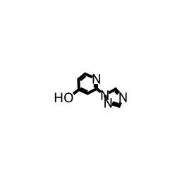 Oc1ccnc(-n2cncn2)c1